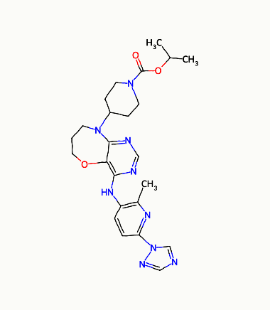 Cc1nc(-n2cncn2)ccc1Nc1ncnc2c1OCCCN2C1CCN(C(=O)OC(C)C)CC1